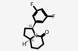 O=C1CCC[C@H]2CC[C@@H](c3cc(F)cc(F)c3)N12